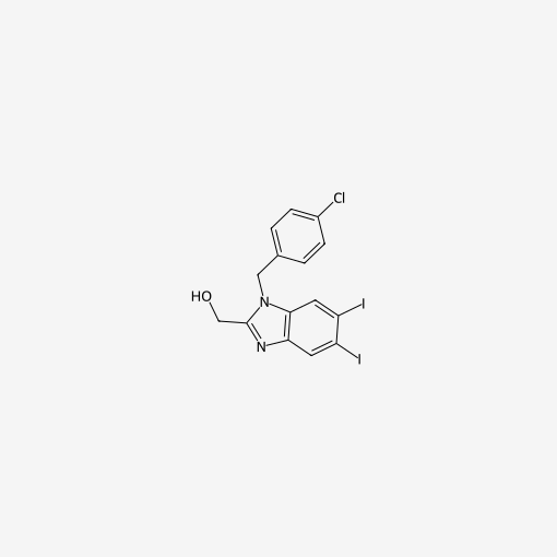 OCc1nc2cc(I)c(I)cc2n1Cc1ccc(Cl)cc1